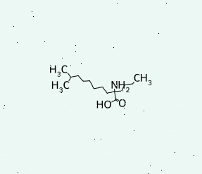 CCCCC(N)(CCCCCCC(C)C)C(=O)O